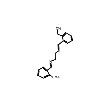 COc1ccccc1C=NCCN=Cc1ccccc1CO